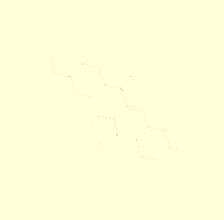 C=Cc1ccc(C(=O)C(=Cc2ccccc2)C2COOC2)cc1